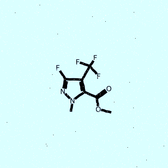 COC(=O)c1c(C(F)(F)F)c(F)nn1C